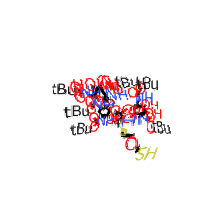 CC(C)(C)OC(=O)NCC1O[C@H](O[C@@H]2C(NC(=O)OC(C)(C)C)C[C@@H](NC(=O)OC(C)(C)C)[C@@H](O)C2O[C@@H]2O[C@H](CSCCOCCS)C(OC3O[C@@H](CNC(=O)OC(C)(C)C)C(O)C(O)[C@H]3NC(=O)OC(C)(C)C)C2O)C(NC(=O)OC(C)(C)C)C(O)[C@@H]1O